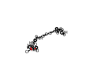 CC1(C)CCC2(CC1)N[C@@H](C(=O)Nc1ccc(C(=O)NCCCOCCOCCOCCCNc3cccc4c3C(=O)N(C3CCC(=O)NC3=O)C4=O)cc1)[C@H](c1cccc(Cl)c1F)[C@]21C(=O)Nc2cc(Cl)ccc21